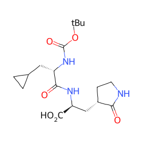 CC(C)(C)OC(=O)N[C@@H](CC1CC1)C(=O)N[C@@H](C[C@@H]1CCNC1=O)C(=O)O